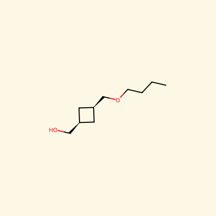 CCCCOC[C@H]1C[C@@H](CO)C1